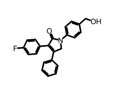 O=C1C(c2ccc(F)cc2)=C(c2ccccc2)CN1c1ccc(CO)cc1